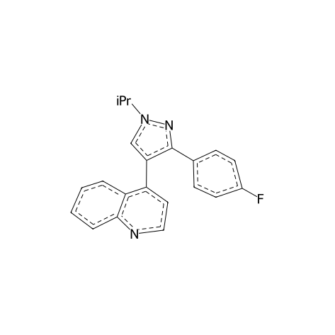 CC(C)n1cc(-c2ccnc3ccccc23)c(-c2ccc(F)cc2)n1